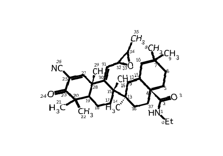 CCNC(=O)[C@]12CCC(C)(C)CC1C[C@](C)([C@]1(C)CCC3C(C)(C)C(=O)C(C#N)=C[C@]3(C)/C1=C/C1OC1C)CC2